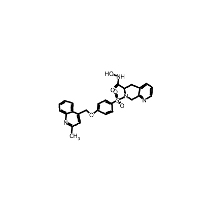 Cc1cc(COc2ccc(S(=O)(=O)N3Cc4ncccc4CC3C(=O)NO)cc2)c2ccccc2n1